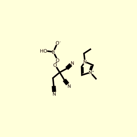 CCn1cc[n+](C)c1.N#CCC(C#N)(C#N)OOB([O-])O